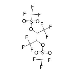 O=S(=O)(OC(C(OS(=O)(=O)C(F)(F)F)C(F)(F)F)C(F)(F)F)C(F)(F)F